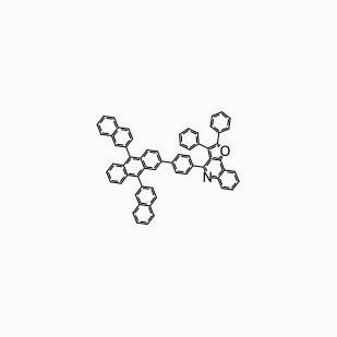 c1ccc(-c2oc3c(c(-c4ccc(-c5ccc6c(-c7ccc8ccccc8c7)c7ccccc7c(-c7ccc8ccccc8c7)c6c5)cc4)nc4ccccc43)c2-c2ccccc2)cc1